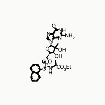 CCOC(=O)[C@H](C)NP(=O)(OC[C@H]1O[C@@H](n2cnc3c(=O)[nH]c(N)nc32)C(C)(O)[C@H]1O)Oc1cccc2ccccc12